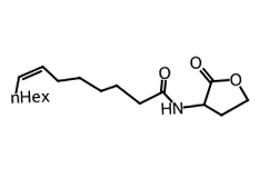 CCCCCC/C=C\CCCCCC(=O)NC1CCOC1=O